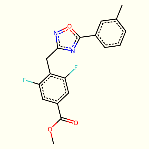 COC(=O)c1cc(F)c(Cc2noc(-c3cccc(C)c3)n2)c(F)c1